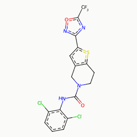 O=C(Nc1c(Cl)cccc1Cl)N1CCc2sc(-c3noc(C(F)(F)F)n3)cc2C1